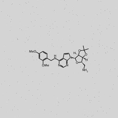 COc1ccc(CNc2ncnc3c2ccn3[C@@H]2O[C@H](CN)[C@H]3OC(C)(C)O[C@@H]32)c(OC)c1